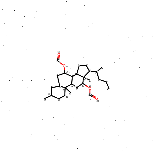 CCCC(C)C1CCC2C3C(OC=O)CC4CC(C)CCC4(C)C3CC(OC=O)C12C